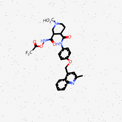 Cc1cc(COc2ccc(NC(=O)C3CCN(C(=O)O)CC3C(=O)NOC(=O)C(F)(F)F)cc2)c2ccccc2n1